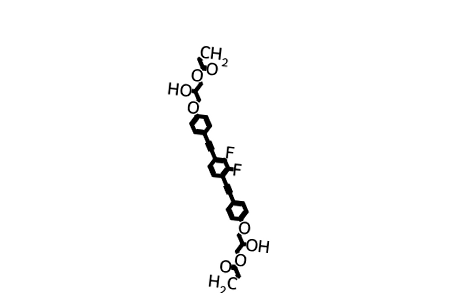 C=CC(=O)OCC(O)COc1ccc(C#Cc2ccc(C#Cc3ccc(OCC(O)COC(=O)C=C)cc3)c(F)c2F)cc1